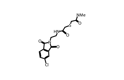 CNC(=O)CSCC(=O)NCCN1C(=O)c2ccc(Cl)cc2C1=O